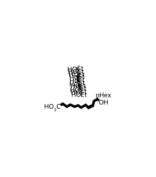 CCCCCC[C@@H](O)C/C=C\CCCCCCCC(=O)O.CCO.CCO.CCO.CCO.CCO.CCO.CCO.CCO.CCO.CCO